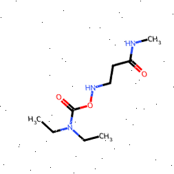 CCN(CC)C(=O)ONCCC(=O)NC